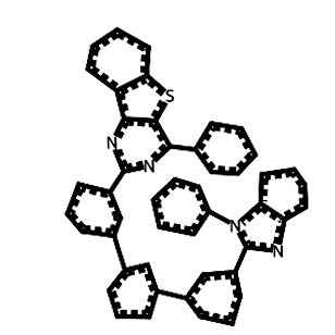 c1ccc(-c2nc(-c3cccc(-c4cccc(-c5cccc(-c6nc7ccccc7n6-c6ccccc6)c5)c4)c3)nc3c2sc2ccccc23)cc1